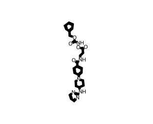 O=C(CCNC(=O)c1ccc(N2CCC(Nc3ncccn3)CC2)cc1)ONC(=O)OCc1ccccc1